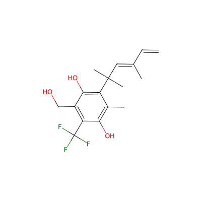 C=C/C(C)=C/C(C)(C)c1c(C)c(O)c(C(F)(F)F)c(CO)c1O